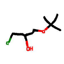 CC(C)(C)OCC(O)CCl